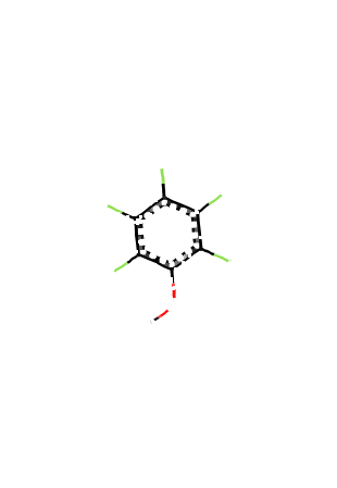 CCCCOc1c(F)c(F)c(F)c(F)c1F